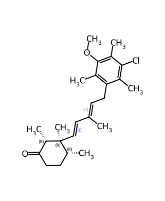 COc1c(C)c(Cl)c(C)c(C/C=C(C)/C=C/[C@@]2(C)[C@H](C)CCC(=O)[C@@H]2C)c1C